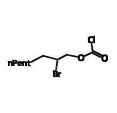 CCCCCCC(Br)COC(=O)Cl